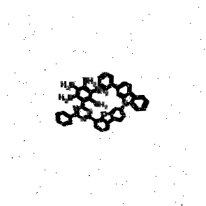 Bc1c(B)c(B)c(-c2nc(-c3ccccc3)nc(-c3cccc4c3oc3cc(-n5c6ccccc6c6ccc(-c7ccccc7)cc65)ccc34)n2)c(B)c1B